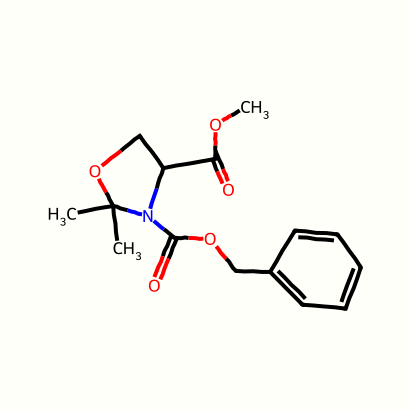 COC(=O)C1COC(C)(C)N1C(=O)OCc1ccccc1